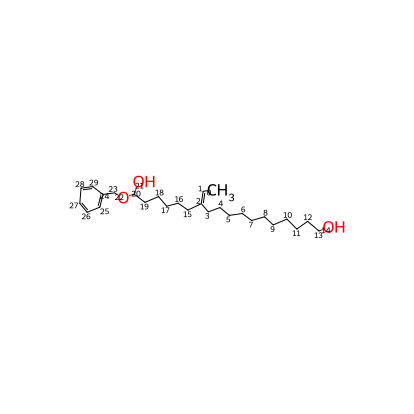 CC=C(CCCCCCCCCCCO)CCCCCC(O)OCc1ccccc1